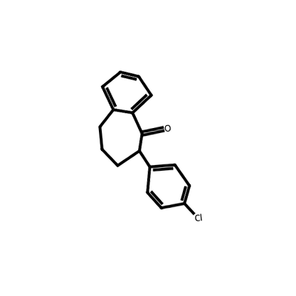 O=C1c2ccccc2CCCC1c1ccc(Cl)cc1